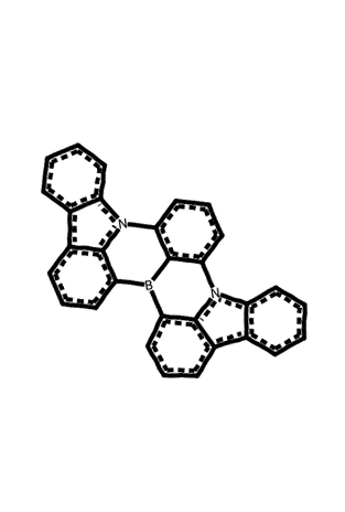 c1cc2c3c(c1)-n1c4ccccc4c4cccc(c41)B3c1cccc3c4ccccc4n-2c13